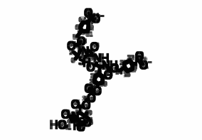 CC1(C)S[C@@H]2C(NC(=O)C(NC(=O)OCc3ccc([N+](=O)[O-])cc3)c3ccc(OC(=O)OCOC(=O)[C@@H]4N5C(=O)[C@@H](CO)[C@H]5S(=O)(=O)C4(C)C)cc3)C(=O)N2[C@H]1C(=O)OCc1ccc([N+](=O)[O-])cc1